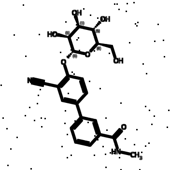 CNC(=O)c1cccc(-c2ccc(O[C@H]3O[C@H](CO)[C@@H](O)[C@H](O)[C@@H]3O)c(C#N)c2)c1